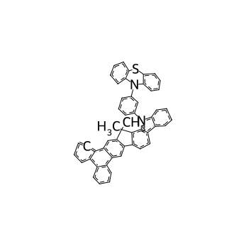 CC1(C)c2cc3c4ccccc4c4ccccc4c3cc2-c2ccc3c4ccccc4n(-c4cccc(N5c6ccccc6Sc6ccccc65)c4)c3c21